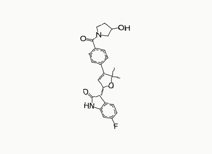 CC1(C)O/C(=C2/C(=O)Nc3cc(F)ccc32)C=C1c1ccc(C(=O)N2CCC(O)C2)cc1